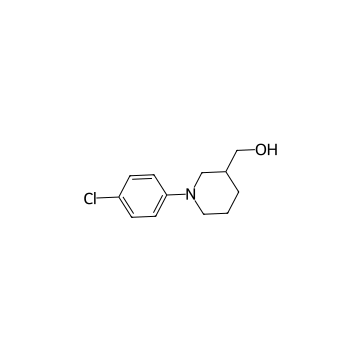 OCC1CCCN(c2ccc(Cl)cc2)C1